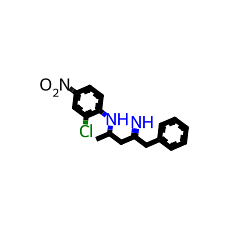 CC(CC(=N)Cc1ccccc1)Nc1ccc([N+](=O)[O-])cc1Cl